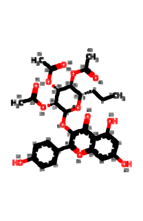 CCC[C@@H]1OC(Oc2c(-c3ccc(O)cc3)oc3cc(O)cc(O)c3c2=O)[C@H](OC(C)=O)[C@H](OC(C)=O)[C@H]1OC(C)=O